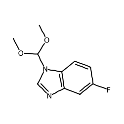 COC(OC)n1cnc2cc(F)ccc21